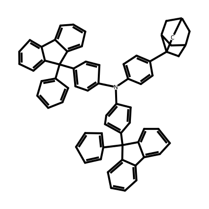 c1ccc(C2(c3ccc(N(c4ccc(C5(c6ccccc6)c6ccccc6-c6ccccc65)cc4)c4ccc(C56CC7CC(CC5C7)C6)cc4)cc3)c3ccccc3-c3ccccc32)cc1